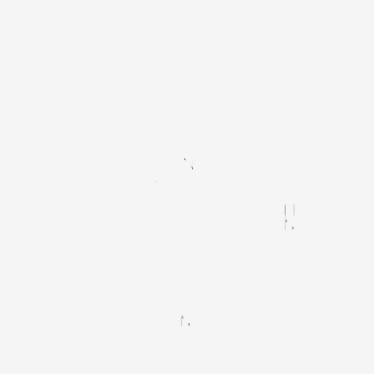 N#Cc1ccccc1-c1cc(C2=CC=CCN2)cn(-c2ccccc2)c1=O